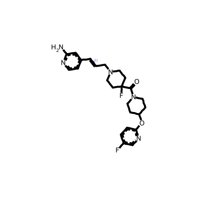 Nc1cc(/C=C/CN2CCC(F)(C(=O)N3CCC(Oc4ccc(F)cn4)CC3)CC2)ccn1